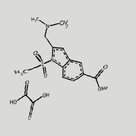 COC(=O)c1ccc2c(c1)cc(CN(C)C)n2S(C)(=O)=O.O=C(O)C(=O)O